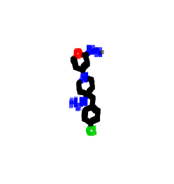 [N]=NC1C=C(N2CCC(N)(Cc3ccc(Cl)cc3)CC2)C=CO1